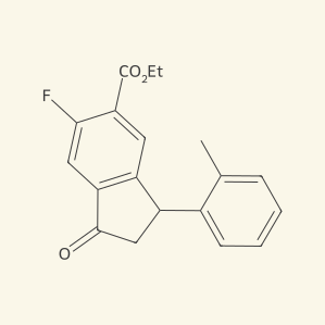 CCOC(=O)c1cc2c(cc1F)C(=O)CC2c1ccccc1C